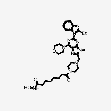 CCc1nc2ccccc2n1-c1nc(N2CCOCC2)c2nc(CN3CCN(C(=O)CCCCCCC(=O)NO)CC3)n(C)c2n1